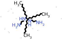 CCCCCCCCC(NCCCN)C(CCCCCCCC)(CCCCCCCC)NCCCN